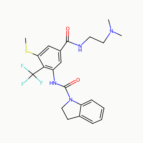 CSc1cc(C(=O)NCCN(C)C)cc(NC(=O)N2CCc3ccccc32)c1C(F)(F)F